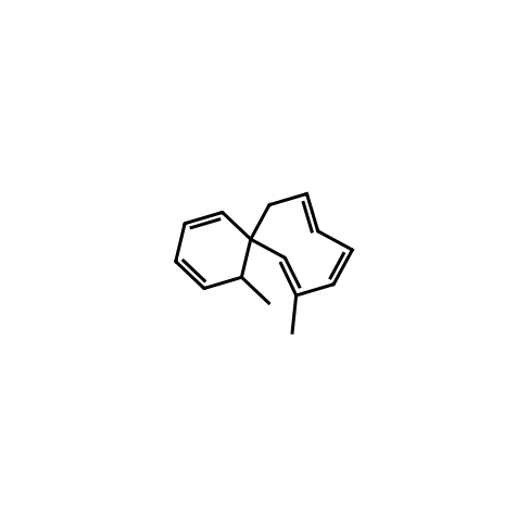 CC1=C\C2(C=CC=CC2C)C/C=C/C=C\1